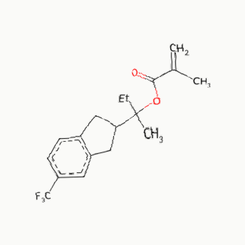 C=C(C)C(=O)OC(C)(CC)C1Cc2ccc(C(F)(F)F)cc2C1